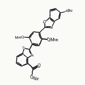 COC(=O)c1cccc2oc(-c3cc(OC)c(-c4nc5cc(C(C)(C)C)ccc5o4)cc3OC)nc12